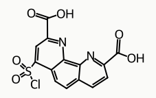 O=C(O)c1ccc2ccc3c(S(=O)(=O)Cl)cc(C(=O)O)nc3c2n1